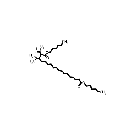 CCCCCCOC(=O)CCCCCCCCCCCCCCC(C(C)C)C(C(=O)OCCCCCC)C(C)C